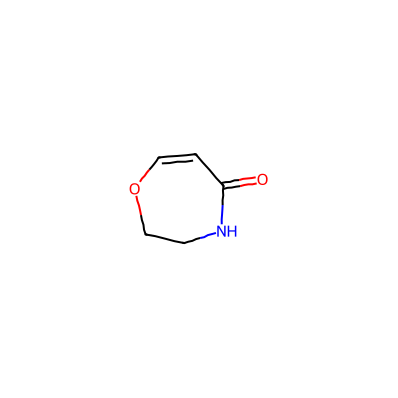 O=C1C=COCCN1